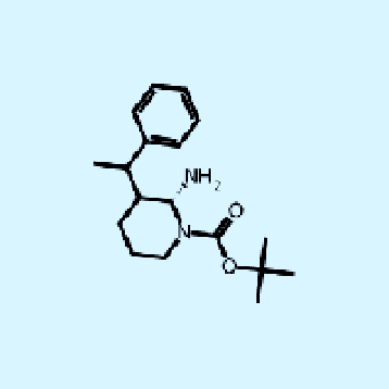 CC(c1ccccc1)C1CCCN(C(=O)OC(C)(C)C)[C@H]1N